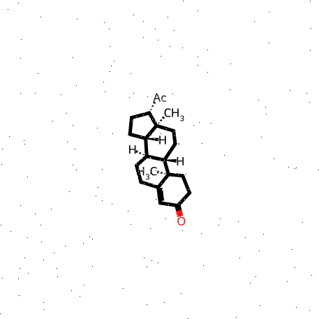 CC(=O)[C@H]1CC[C@H]2[C@@H]3CCC4=CC(=O)CC[C@]4(C)[C@H]3[CH]C[C@]12C